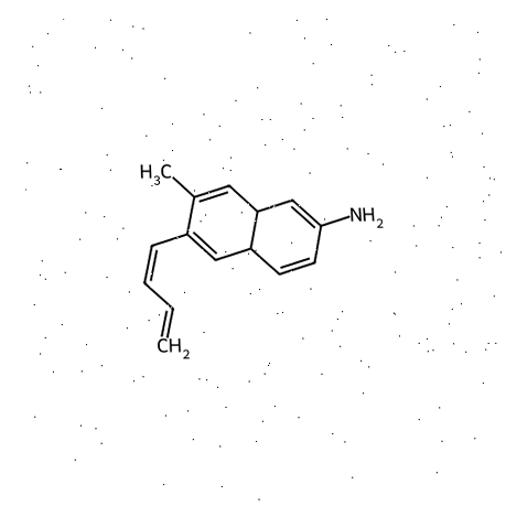 C=C/C=C\C1=CC2C=CC(N)=CC2C=C1C